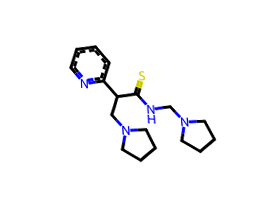 S=C(NCN1CCCC1)C(CN1CCCC1)c1ccccn1